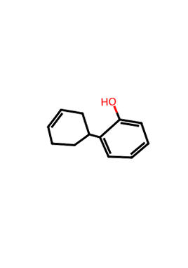 Oc1ccccc1C1CC=CCC1